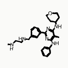 CNCCNCc1cccc(-c2nc(Nc3ccccc3)c(C)c(NC3CCOCC3)n2)c1